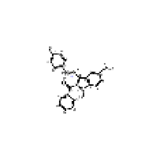 COc1ccc2c(c1)c(/N=N/c1ccc(C)cc1)c(C(=O)c1ccccc1)n2C